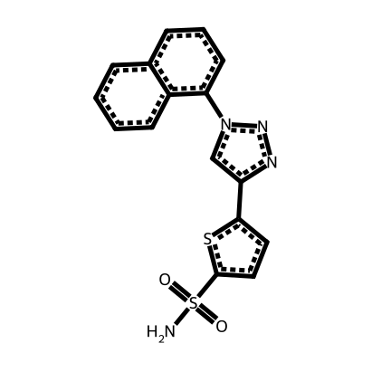 NS(=O)(=O)c1ccc(-c2cn(-c3cccc4ccccc34)nn2)s1